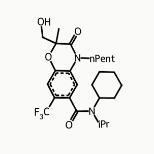 CCCCCN1C(=O)C(C)(CO)Oc2cc(C(F)(F)F)c(C(=O)N(C(C)C)C3CCCCC3)cc21